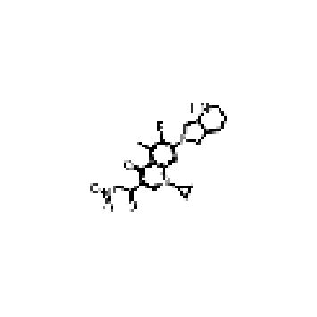 Cc1c(F)c(N2CC3=CCCNC3C2)cc2c1c(=O)c(C(=O)C[N+](=O)[O-])cn2C1CC1